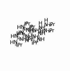 CC(C)NC(NC(C)C)NC(NCCNC(NC(NC(C)C)NC(C)C)NC(NC(C)C)NC(C)C)NC(NC(C)C)NC(C)C